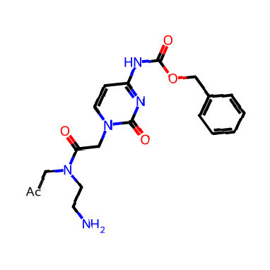 CC(=O)CN(CCN)C(=O)Cn1ccc(NC(=O)OCc2ccccc2)nc1=O